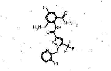 NCc1cc(Cl)cc(C(=O)NN)c1NC(=O)c1cc(C(F)(F)F)n(Cc2ncccc2Cl)n1